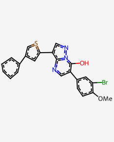 COc1ccc(-c2cnc3c(-c4cc(-c5ccccc5)cs4)cnn3c2O)cc1Br